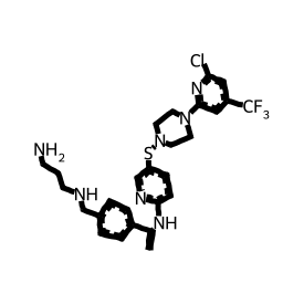 C=C(Nc1ccc(SN2CCN(c3cc(C(F)(F)F)cc(Cl)n3)CC2)cn1)c1ccc(CNCCCN)cc1